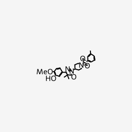 COc1ccc(C2=NN(C3CCN(S(=O)(=O)c4cccc(C)c4)CC3)C(=O)C2(C)C)cc1O